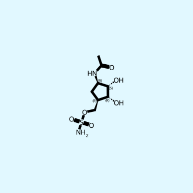 CC(=O)N[C@@H]1C[C@H](COS(N)(=O)=O)[C@@H](O)[C@H]1O